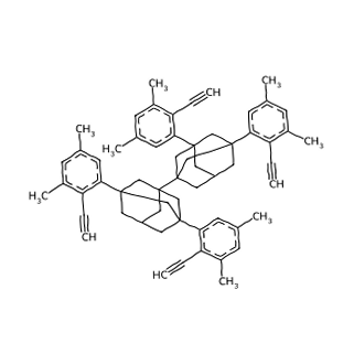 C#Cc1c(C)cc(C)cc1C12CC3CC(c4cc(C)cc(C)c4C#C)(C1)CC(C14CC5CC(c6cc(C)cc(C)c6C#C)(CC(c6cc(C)cc(C)c6C#C)(C5)C1)C4)(C3)C2